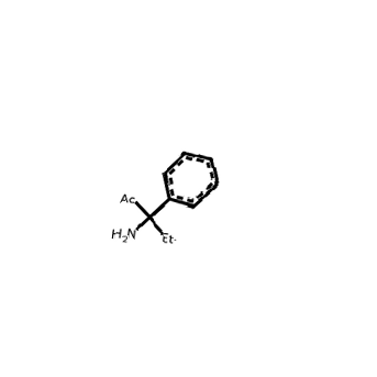 C[CH]C(N)(C(C)=O)c1ccccc1